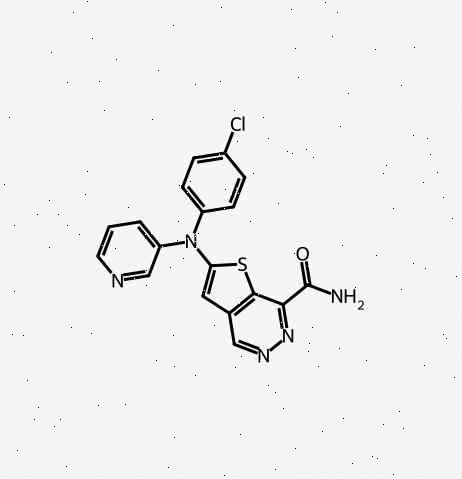 NC(=O)c1nncc2cc(N(c3ccc(Cl)cc3)c3cccnc3)sc12